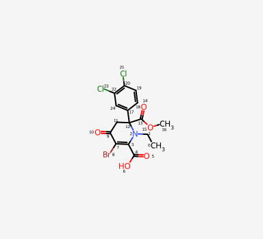 CCN1C(C(=O)O)=C(Br)C(=O)CC1(C(=O)OC)c1ccc(Cl)c(Cl)c1